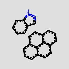 c1cc2ccc3cccc4ccc(c1)c2c34.c1ccc2[nH]ncc2c1